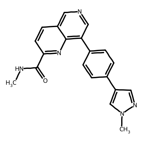 CNC(=O)c1ccc2cncc(-c3ccc(-c4cnn(C)c4)cc3)c2n1